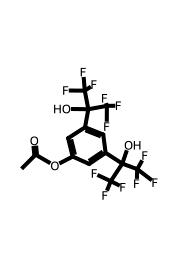 CC(=O)Oc1cc(C(O)(C(F)(F)F)C(F)(F)F)cc(C(O)(C(F)(F)F)C(F)(F)F)c1